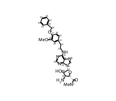 CNC(=O)[C@H]1O[C@@H](n2cnc3c(NCCc4ccc(OCc5ccccc5)c(OC)c4)ncnc32)[C@H](O)[C@@H]1N